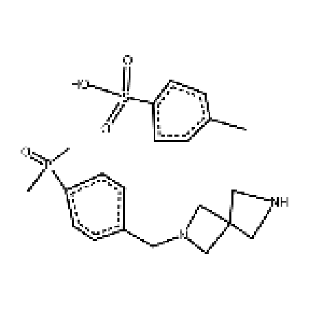 CP(C)(=O)c1ccc(CN2CC3(CNC3)C2)cc1.Cc1ccc(S(=O)(=O)O)cc1